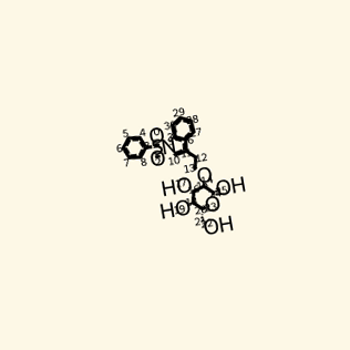 O=S(=O)(c1ccccc1)n1cc(CCO[C@@H]2[C@@H](O)[C@H](O)[C@@H](CO)O[C@H]2O)c2ccccc21